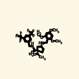 COc1cc(OC)c(CN[C@@H]2CC[C@@](C(=O)NCc3cc(C(F)(F)F)cc(C(F)(F)F)c3)(C(C)C)C2)c(OC)c1